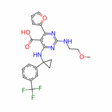 COCCNc1nc(NC2(c3cccc(C(F)(F)F)c3)CC2)c(C(=O)O)c(-c2ccco2)n1